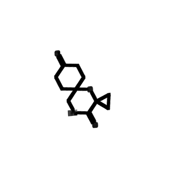 O=C1CCC2(CC1)CNC(=O)C1(CC1)O2